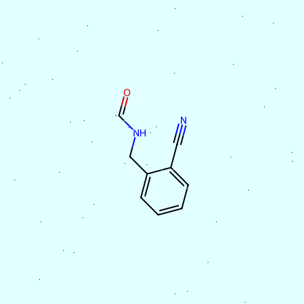 N#Cc1ccccc1CN[C]=O